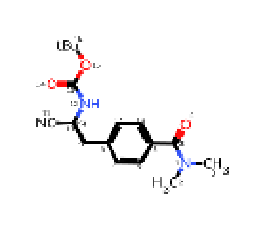 CN(C)C(=O)c1ccc(C[C@@H](C#N)NC(=O)OC(C)(C)C)cc1